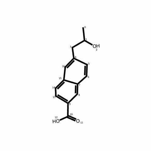 CC(O)Cc1ccc2cc(C(=O)O)ccc2c1